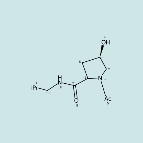 CC(=O)N1C[C@H](O)CC1C(=O)NCC(C)C